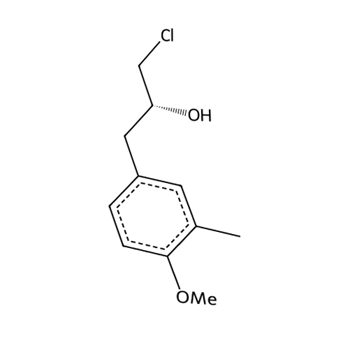 COc1ccc(C[C@@H](O)CCl)cc1C